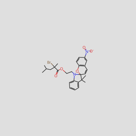 CC(C)CC(C)(Br)C(=O)OCCN1c2ccccc2C(C)(C)C12C=Cc1cc([N+](=O)[O-])ccc1O2